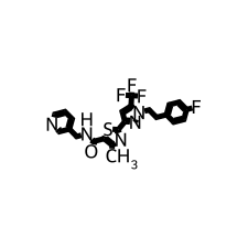 Cc1nc(-c2cc(C(F)(F)F)n(CCc3ccc(F)cc3)n2)sc1C(=O)NCc1cccnc1